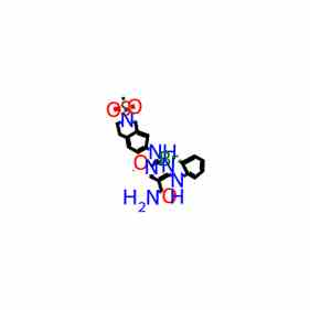 COc1cc2c(cc1Nc1ncc(C(N)=O)c(Nc3ccccc3Br)n1)CN(S(C)(=O)=O)CC2